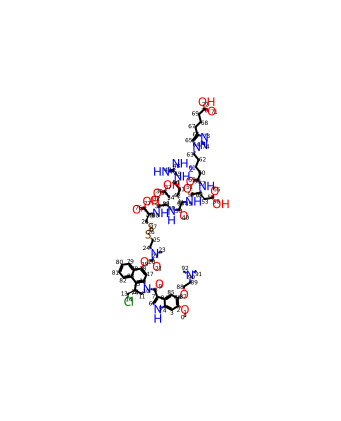 COc1cc2[nH]cc(C(=O)N3C[C@@H](CCl)c4c3cc(OC(=O)N(C)CCSSC[C@H](NC(=O)[C@H](CC(=O)O)NC(=O)[C@H](CCCNC(=N)N)NC(=O)[C@H](CC(=O)O)NC(=O)CCCCn3cc(CCCC(=O)O)nn3)C(=O)O)c3ccccc43)c2cc1OCCN(C)C